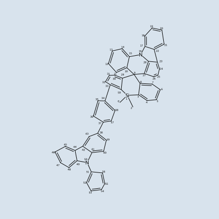 C[Si]1(C)c2ccccc2C2(c3ccccc3-n3c4ccccc4c4cccc2c43)c2cccc(-c3ccc(-c4ccc5c(c4)c4ccccc4n5-c4ccccc4)cc3)c21